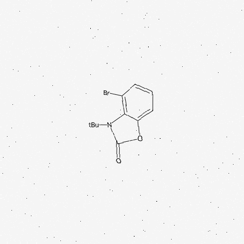 CC(C)(C)n1c(=O)oc2cccc(Br)c21